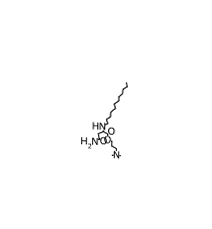 CCCCCCCCCCCCNC(CC(N)=O)C(=O)OCCCN(C)C